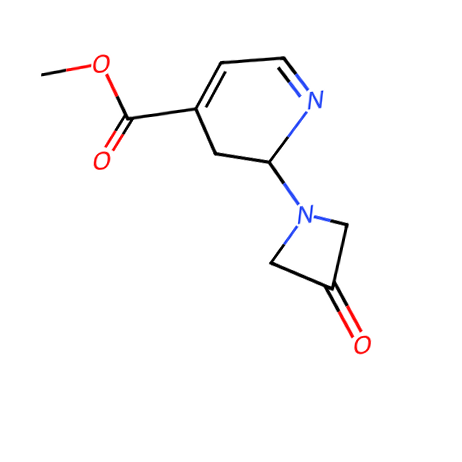 COC(=O)C1=CC=NC(N2CC(=O)C2)C1